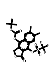 Cc1cc2c(OC(=O)OC(C)(C)C)c3c(c(OS(=O)(=O)C(F)(F)F)c2cc1C)C(=O)OC3